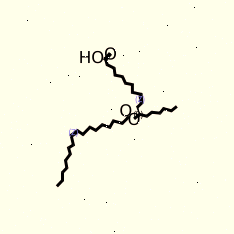 CCCCCCCC/C=C\CCCCCCCC(=O)O[C@@H](C/C=C\CCCCCCCC(=O)O)CCCCCC